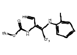 Cc1ccccc1N/C(=C(\C=N)NC(=O)OC(C)(C)C)C(F)(F)F